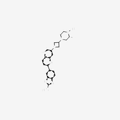 C[C@H]1CN(C2CN(c3cnc4ccc(-c5ccc6nc(N)[nH]c6c5)nc4c3)C2)CCN1C